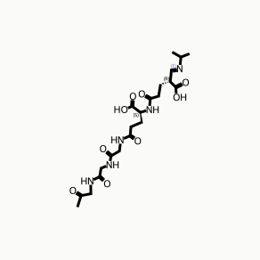 CC(=O)CNC(=O)CNC(=O)CNC(=O)CC[C@H](NC(=O)CC[C@H](/C=N/C(C)C)C(=O)O)C(=O)O